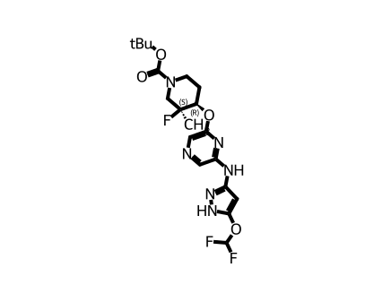 CC(C)(C)OC(=O)N1CC[C@@H](Oc2cncc(Nc3cc(OC(F)F)[nH]n3)n2)[C@@](C)(F)C1